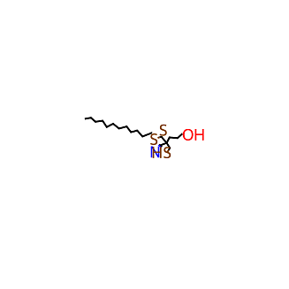 CCCCCCCCCCCCSC(=S)C(C#N)(CS)CCCO